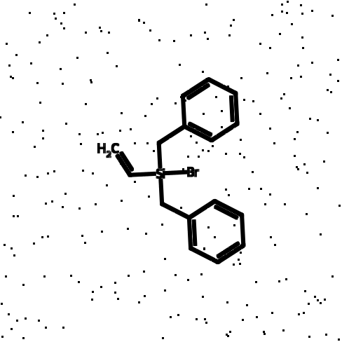 C=C[Si](Br)(Cc1ccccc1)Cc1ccccc1